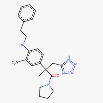 CC(Cc1nnn[nH]1)(C(=O)N1CCCC1)c1ccc(NCCc2ccccc2)c([N+](=O)[O-])c1